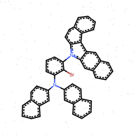 Brc1c(N(c2ccc3ccccc3c2)c2ccc3ccccc3c2)cccc1-n1c2cc3ccccc3cc2c2c3ccccc3ccc21